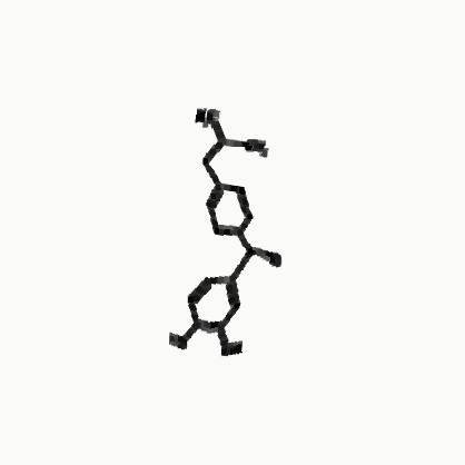 CC(C)Cc1ccc(C(=O)c2ccc(O)c(O)c2)cc1